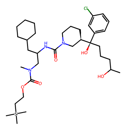 CC(O)CCC[C@@](O)(c1cccc(Cl)c1)[C@@H]1CCCN(C(=O)NC(CC2CCCCC2)CN(C)C(=O)OCC[Si](C)(C)C)C1